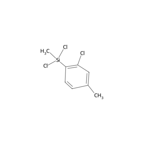 Cc1ccc([Si](C)(Cl)Cl)c(Cl)c1